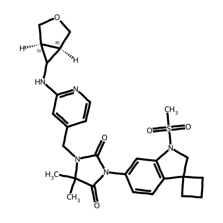 CC1(C)C(=O)N(c2ccc3c(c2)N(S(C)(=O)=O)CC32CCC2)C(=O)N1Cc1ccnc(NC2[C@H]3COC[C@@H]23)c1